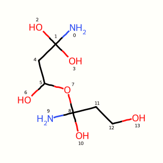 NC(O)(O)CC(O)OC(N)(O)CCO